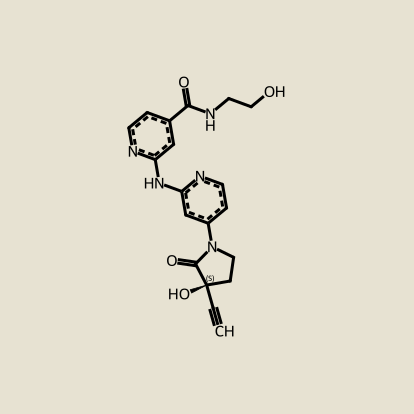 C#C[C@@]1(O)CCN(c2ccnc(Nc3cc(C(=O)NCCO)ccn3)c2)C1=O